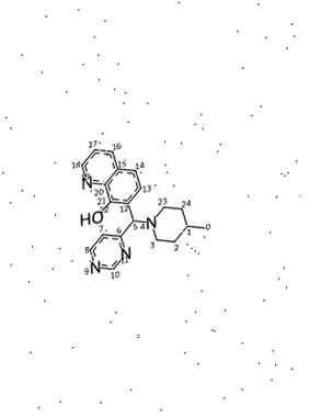 CC1CCN(C(c2ccncn2)c2ccc3cccnc3c2O)CC1